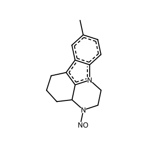 Cc1ccc2c(c1)c1c3n2CCN(N=O)C3CCC1